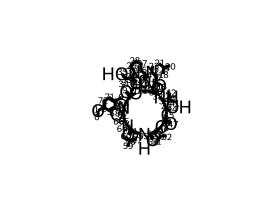 COc1ccc(C[C@H]2C(=O)O[C@H](C)[C@H](NC(=O)[C@@H](CC(C)C)N(C)C(=O)C3CCCN3C(=O)[C@H](C)O)C(=O)N[C@H](C(C)C)[C@@H](O)CC(=O)O[C@@H](C(C)C)C(=O)N[C@@H](CC(C)C)C(=O)N(C)[C@@H](C)C(=O)N2C)cc1